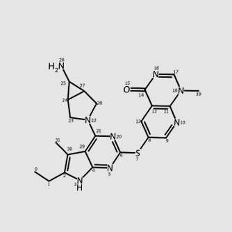 CCc1[nH]c2nc(Sc3cnc4c(c3)c(=O)ncn4C)nc(N3CC4C(N)C4C3)c2c1C